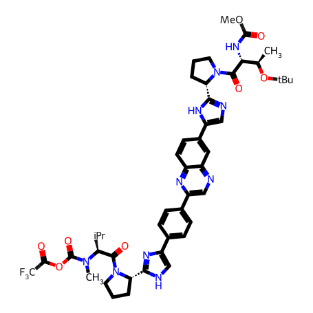 COC(=O)N[C@@H](C(=O)N1CCC[C@H]1c1ncc(-c2ccc3nc(-c4ccc(-c5c[nH]c([C@@H]6CCCN6C(=O)[C@H](C(C)C)N(C)C(=O)OC(=O)C(F)(F)F)n5)cc4)cnc3c2)[nH]1)[C@@H](C)OC(C)(C)C